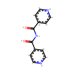 O=C([N]C(=O)c1ccncc1)c1ccncc1